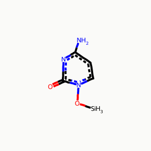 Nc1ccn(O[SiH3])c(=O)n1